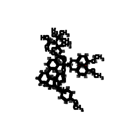 COc1ccc(CN(Cc2ccc(OC)cc2)S(=O)(=O)c2c(S(=O)(=O)CC(C)(C)N(C(=O)O)C(C)(C)C)ccc(-c3cccc4sc(N)nc34)c2-c2nnn(Cc3ccc(OC)cc3)n2)cc1